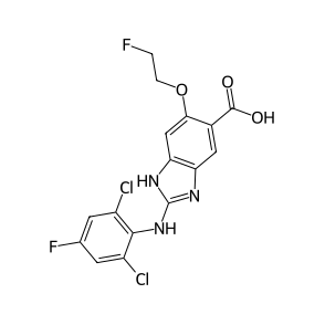 O=C(O)c1cc2nc(Nc3c(Cl)cc(F)cc3Cl)[nH]c2cc1OCCF